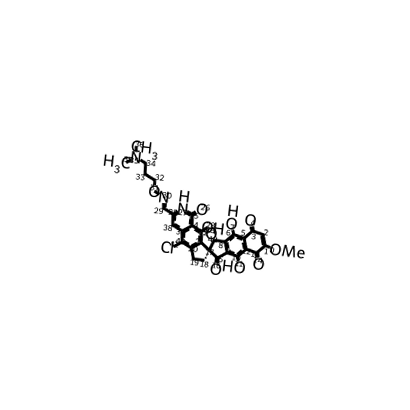 COC1=CC(=O)c2c(O)c3c(c(O)c2C1=O)C(=O)[C@]1(CCc2c1c(O)c1c(=O)[nH]c(C=NOCCCN(C)C)cc1c2Cl)C3=O